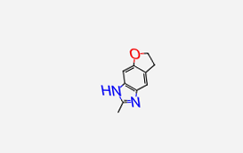 Cc1nc2cc3c(cc2[nH]1)OCC3